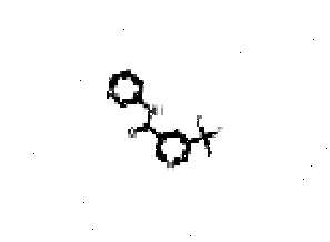 O=C(Nc1cccnc1)c1cncc(C(F)(F)F)c1